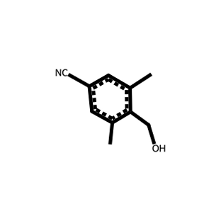 Cc1cc(C#N)cc(C)c1CO